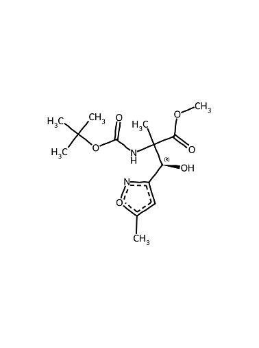 COC(=O)C(C)(NC(=O)OC(C)(C)C)[C@@H](O)c1cc(C)on1